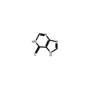 S=c1[nH]cnc2pc[nH]c12